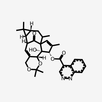 CC1=CC23C(=O)[C@@H](C=C4COC(C)(C)O[C@H]4[C@]2(O)[C@H]1OC(=O)c1cnnc2ccccc12)[C@H]1[C@@H](CC3C)C1(C)C